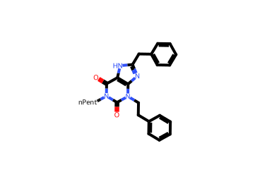 CCCCCn1c(=O)c2[nH]c(Cc3ccccc3)nc2n(CCc2ccccc2)c1=O